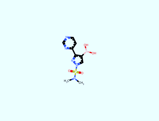 CN(C)S(=O)(=O)n1cc(B(O)O)c(-c2ccncn2)n1